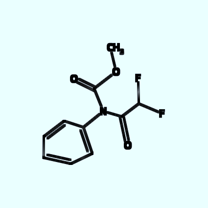 COC(=O)N(C(=O)C(F)F)c1ccccc1